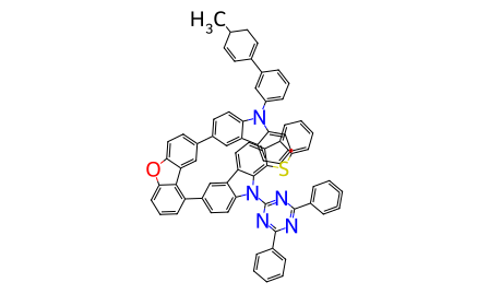 CC1C=CC(c2cccc(-n3c4ccccc4c4cc(-c5ccc6oc7cccc(-c8ccc9c(c8)c8ccc%10c%11ccccc%11sc%10c8n9-c8nc(C9=CC=C=C=C9)nc(-c9ccccc9)n8)c7c6c5)ccc43)c2)=CC1